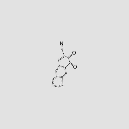 N#CC1=Cc2cc3ccccc3cc2C(=O)C1=O